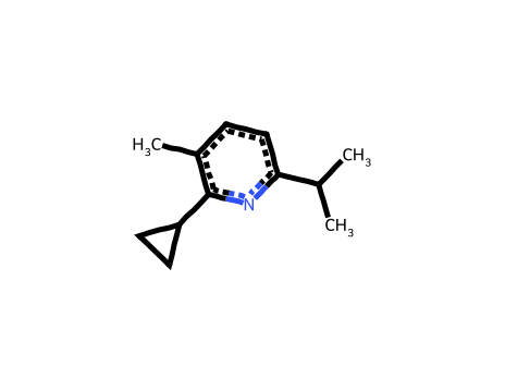 Cc1ccc(C(C)C)nc1C1CC1